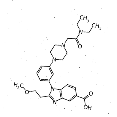 CCN(CC)C(=O)CN1CCN(c2cccc(-n3c(CCOC)nc4cc(C(=O)O)ccc43)c2)CC1